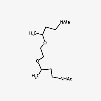 CNCCC(C)OCCOC(C)CCNC(C)=O